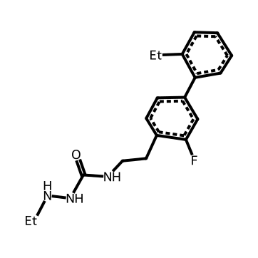 CCNNC(=O)NCCc1ccc(-c2ccccc2CC)cc1F